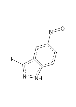 O=Nc1ccc2[nH]nc(I)c2c1